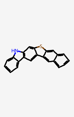 c1ccc2cc3c(cc2c1)sc1cc2[nH]c4ccccc4c2cc13